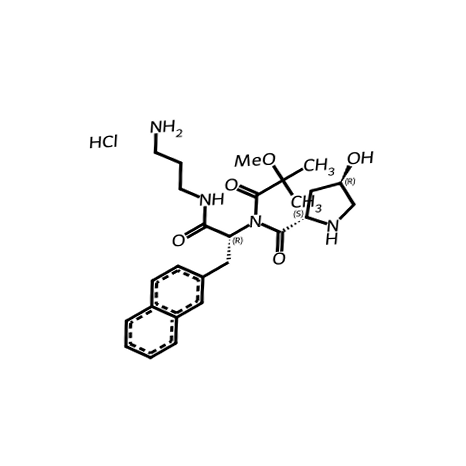 COC(C)(C)C(=O)N(C(=O)[C@@H]1C[C@@H](O)CN1)[C@H](Cc1ccc2ccccc2c1)C(=O)NCCCN.Cl